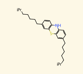 CC(C)CCCCCc1ccc2c(c1)Sc1cc(CCCCCC(C)C)ccc1N2